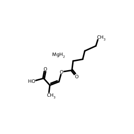 CCCCCC(=O)OC=C(C)C(=O)O.[MgH2]